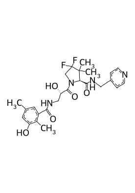 Cc1cc(O)c(C)c(C(=O)NC[C@H](O)C(=O)N2CC(F)(F)C(C)(C)[C@H]2C(=O)NCc2ccncc2)c1